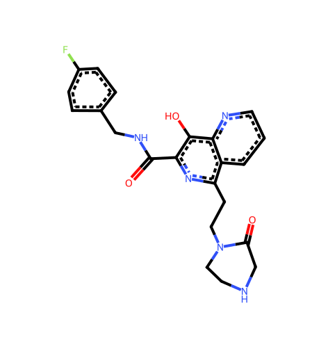 O=C(NCc1ccc(F)cc1)c1nc(CCN2CCNCC2=O)c2cccnc2c1O